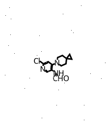 O=CNc1cnc(Cl)cc1N1CCC2(CC1)CC2